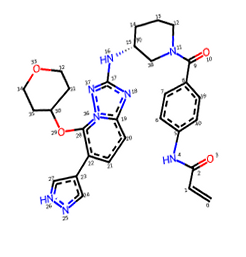 C=CC(=O)Nc1ccc(C(=O)N2CCC[C@@H](Nc3nc4ccc(-c5cn[nH]c5)c(OC5CCOCC5)n4n3)C2)cc1